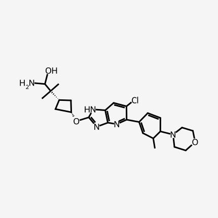 CC1C=C(c2nc3nc(O[C@H]4C[C@@H](C(C)(C)C(N)O)C4)[nH]c3cc2Cl)C=CC1N1CCOCC1